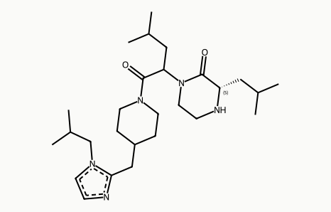 CC(C)CC(C(=O)N1CCC(Cc2nccn2CC(C)C)CC1)N1CCN[C@@H](CC(C)C)C1=O